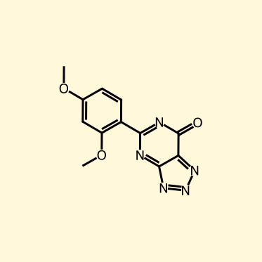 COc1ccc(C2=NC(=O)C3=NN=NC3=N2)c(OC)c1